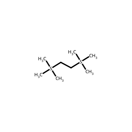 CS(C)(C)CCS(C)(C)C